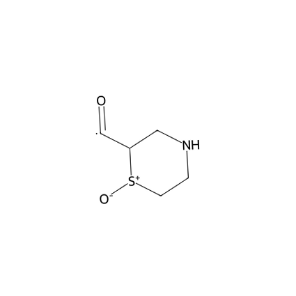 O=[C]C1CNCC[S+]1[O-]